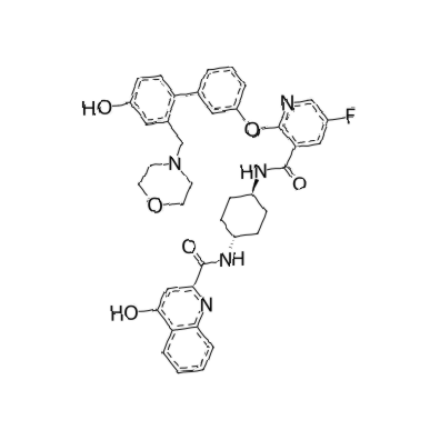 O=C(N[C@H]1CC[C@H](NC(=O)c2cc(F)cnc2Oc2cccc(-c3ccc(O)cc3CN3CCOCC3)c2)CC1)c1cc(O)c2ccccc2n1